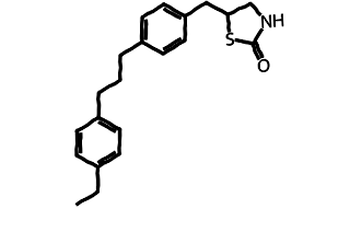 CCc1ccc(CCCc2ccc(CC3CNC(=O)S3)cc2)cc1